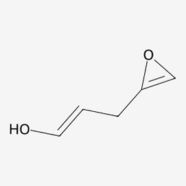 OC=CCC1=CO1